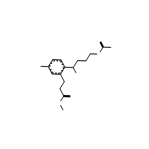 COC(=O)CCc1cc(Cl)ccc1C(O)CCCNC(C)=O